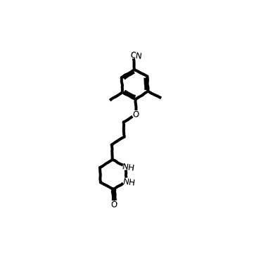 Cc1cc(C#N)cc(C)c1OCCCC1CCC(=O)NN1